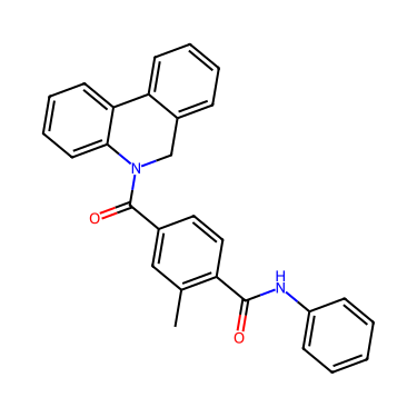 Cc1cc(C(=O)N2Cc3ccccc3-c3ccccc32)ccc1C(=O)Nc1ccccc1